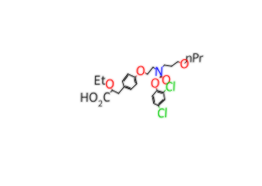 CCCOCCCN(CCOc1ccc(CC(OCC)C(=O)O)cc1)C(=O)Oc1ccc(Cl)cc1Cl